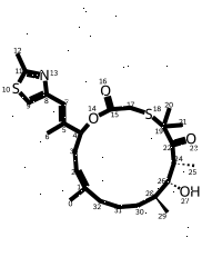 C/C1=C/CC(/C(C)=C/c2csc(C)n2)OC(=O)CSC(C)(C)C(=O)[C@H](C)[C@H](O)[C@@H](C)CCC1